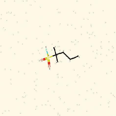 CCCC(C)(C)S(=O)(=O)F